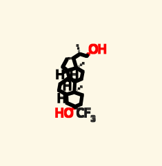 C[C@H](CO)[C@H]1CC[C@H]2[C@@H]3CC[C@H]4C[C@](O)(C(F)(F)F)CC[C@]4(C)[C@H]3CC[C@]12C